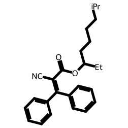 CCC(CCCCC(C)C)OC(=O)C(C#N)=C(c1ccccc1)c1ccccc1